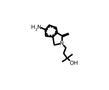 C=C1c2ccc(N)cc2CN1CCC(C)(C)O